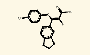 NC(=O)C(F)=C(Oc1ccc(C(F)(F)F)cc1)c1ccc2c(c1)CCC2